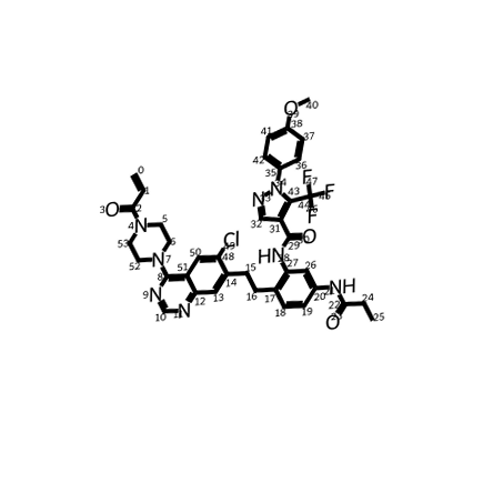 C=CC(=O)N1CCN(c2ncnc3cc(CCc4ccc(NC(=O)CC)cc4NC(=O)c4cnn(-c5ccc(OC)cc5)c4C(F)(F)F)c(Cl)cc23)CC1